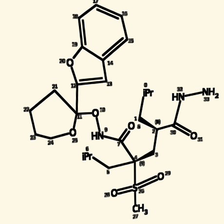 CC(C)C[C@H](C[C@@](CC(C)C)(C(=O)NOC1(c2cc3ccccc3o2)CCCCO1)S(C)(=O)=O)C(=O)NN